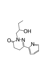 CCC(O)CN1N=C(c2ccccn2)CCC1=O